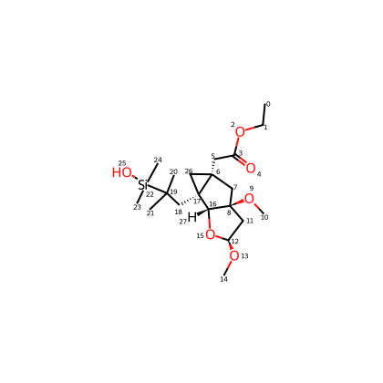 CCOC(=O)C[C@]12C[C@]3(OC)C[C@@H](OC)O[C@@H]3[C@@]1(CC(C)(C)[Si](C)(C)O)C2